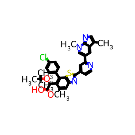 Cc1cnc2n(C)cc(-c3cc(-c4nc5cc(C)c([C@H](OC(C)(C)C)C(=O)O)c(-c6ccc(Cl)cc6)c5s4)ccn3)cc1-2